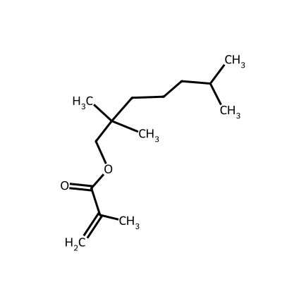 C=C(C)C(=O)OCC(C)(C)CCCC(C)C